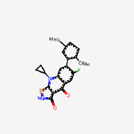 COc1ccc(OC)c(-c2cc3c(cc2F)c(=O)c2c(=O)[nH]sc2n3C2CC2)c1